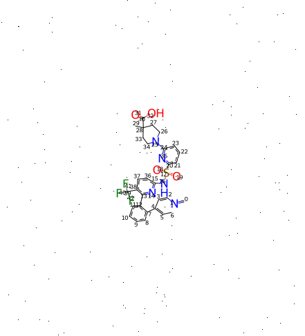 C=N/C=C\C(=C/C)c1ccccc1-c1nc(NS(=O)(=O)c2cccc(N3CCC(C)(C(=O)O)CC3)n2)ccc1C(F)(F)F